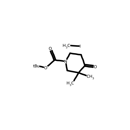 CC(C)(C)OC(=O)N1CCC(=O)C(C)(C)C1.CI